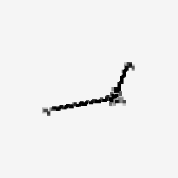 CCCCCCCCCCCCCCCCCOC(=O)C(C)(CC)CCCCCCCCCC